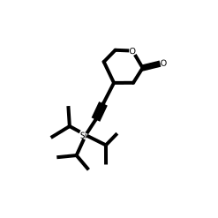 CC(C)[Si](C#CC1CCOC(=O)C1)(C(C)C)C(C)C